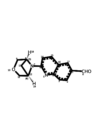 O=Cc1ccc2nc(N3[C@@H]4COC[C@H]3C4)ccc2c1